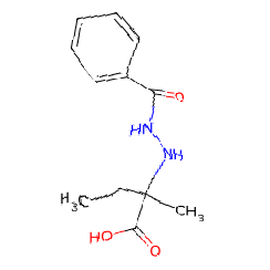 CCC(C)(NNC(=O)c1ccccc1)C(=O)O